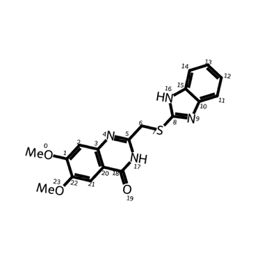 COc1cc2nc(CSc3nc4ccccc4[nH]3)[nH]c(=O)c2cc1OC